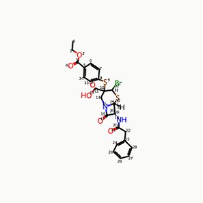 CCOC(=O)c1ccc(SC2(C(=O)O)CN3C(=O)[C@@H](NC(=O)Cc4ccccc4)[C@H]3SC2Br)cc1